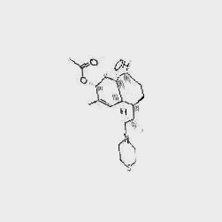 CC(=O)O[C@@H]1[C][C@@]2(O)[C@H](C)CC[C@@H]([C@H](C)CN3CCSCC3)[C@H]2C=C1C